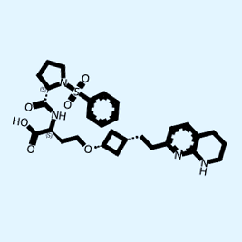 O=C(O)[C@H](CCO[C@H]1C[C@@H](CCc2ccc3c(n2)NCCC3)C1)NC(=O)[C@@H]1CCCN1S(=O)(=O)c1ccccc1